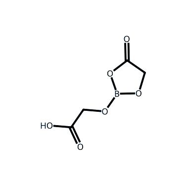 O=C(O)COB1OCC(=O)O1